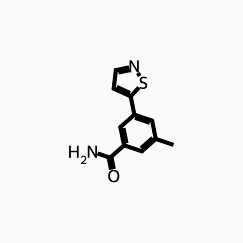 Cc1cc(C(N)=O)cc(-c2ccns2)c1